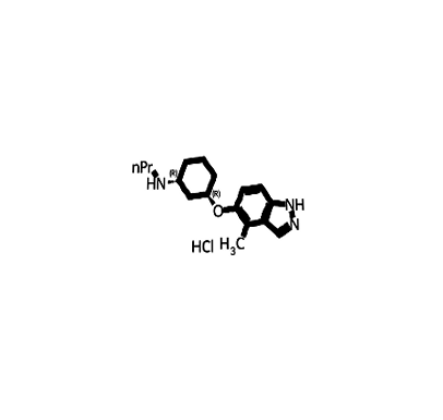 CCCN[C@@H]1CCC[C@@H](Oc2ccc3[nH]ncc3c2C)C1.Cl